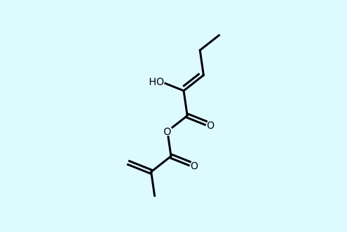 C=C(C)C(=O)OC(=O)C(O)=CCC